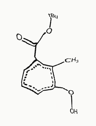 Cc1c(OO)cccc1C(=O)OC(C)(C)C